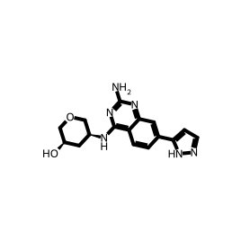 Nc1nc(N[C@@H]2COC[C@H](O)C2)c2ccc(-c3ccn[nH]3)cc2n1